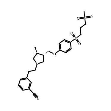 C[C@@H]1CN(CCc2cccc(C#N)c2)C[C@H]1COc1ccc(S(=O)(=O)CCCS(C)(=O)=O)cc1